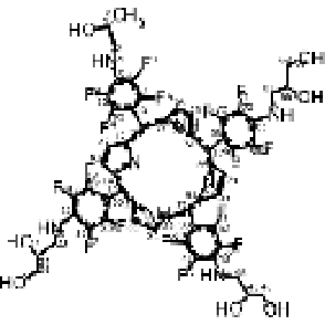 C[C@@H](O)CNc1c(F)c(F)c(-c2c3nc(c(-c4c(F)c(F)c(NC[C@H](O)CO)c(F)c4F)c4ccc([nH]4)c(-c4c(F)c(F)c(NC[C@H](O)CO)c(F)c4F)c4nc(c(-c5c(F)c(F)c(NC[C@H](O)CO)c(F)c5F)c5ccc2[nH]5)C=C4)C=C3)c(F)c1F